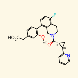 CCOc1cc(CC(=O)O)ccc1-c1ccc(F)c2c1CN(C(=O)[C@@H]1C[C@H]1c1ccccn1)CC2